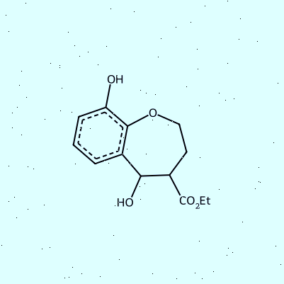 CCOC(=O)C1CCOc2c(O)cccc2C1O